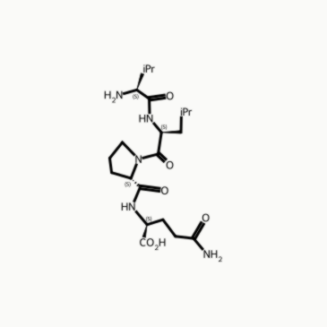 CC(C)C[C@H](NC(=O)[C@@H](N)C(C)C)C(=O)N1CCC[C@H]1C(=O)N[C@@H](CCC(N)=O)C(=O)O